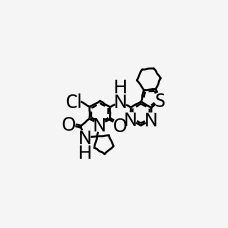 O=C1NC2(CCCC2)n2c1c(Cl)cc(Nc1ncnc3sc4c(c13)CCCC4)c2=O